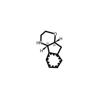 c1ccc2c(c1)C[C@H]1OCCN[C@@H]21